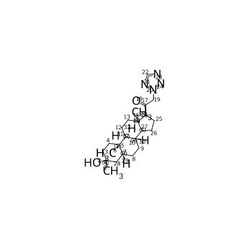 C[C@@]1(O)CC[C@@]2(C)[C@H](CC[C@@H]3[C@@H]2CC[C@]2(C)[C@@H](C(=O)Cn4ncnn4)CC[C@@H]32)C1